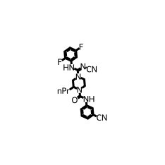 CCCC1CN(/C(=N\C#N)Nc2cc(F)ccc2F)CCN1C(=O)Nc1cccc(C#N)c1